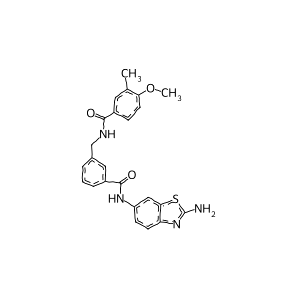 COc1ccc(C(=O)NCc2cccc(C(=O)Nc3ccc4nc(N)sc4c3)c2)cc1C